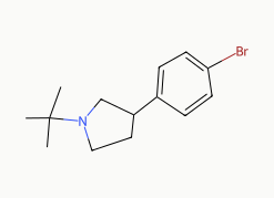 CC(C)(C)N1CCC(c2ccc(Br)cc2)C1